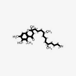 Cc1cc2c(c(C)c1O)C(=O)C[C@@](C)(CCC[C@H](C)CCC[C@H](C)CCCC(C)C)O2